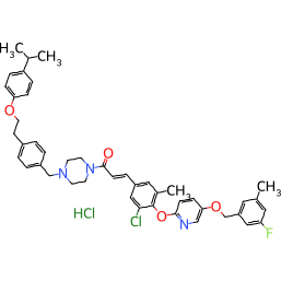 Cc1cc(F)cc(COc2ccc(Oc3c(C)cc(/C=C/C(=O)N4CCN(Cc5ccc(CCOc6ccc(C(C)C)cc6)cc5)CC4)cc3Cl)nc2)c1.Cl